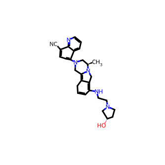 C[C@@H]1CN(c2ccc(C#N)c3ncccc23)CC2=C3CC=CC(NCCN4CC[C@H](O)C4)=C3CN21